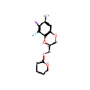 N#Cc1cc2c(c(F)c1I)OC(COC1CCCCO1)CO2